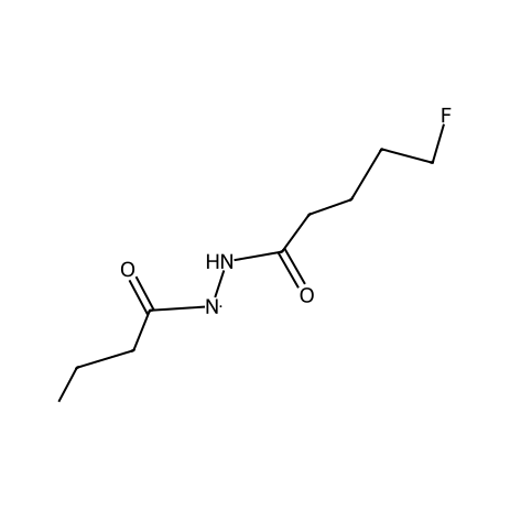 CCCC(=O)[N]NC(=O)CCCCF